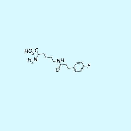 N[C@@H](CCCCNC(=O)CCc1ccc(F)cc1)C(=O)O